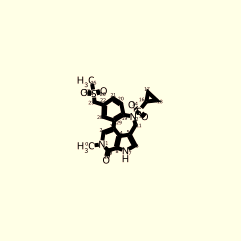 Cn1cc2c3c(c[nH]c3c1=O)CN(S(=O)(=O)C1CC1)c1ccc(CS(C)(=O)=O)cc1-2